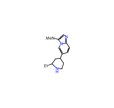 CCC1CC(c2ccc3ncc(NC)n3c2)CCN1